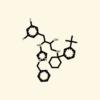 CC(C)(C)c1cccc(C2(NCC(O)C(Cc3cc(F)cc(F)c3)Nc3cnn(Cc4ccccc4)c3)CCCCC2)c1